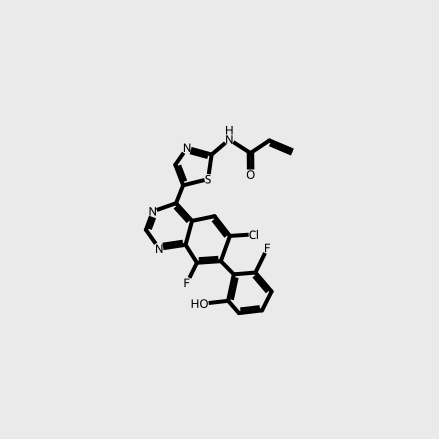 C=CC(=O)Nc1ncc(-c2ncnc3c(F)c(-c4c(O)cccc4F)c(Cl)cc23)s1